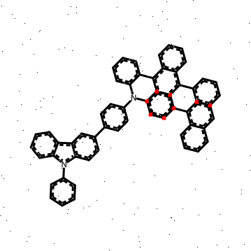 c1ccc(-c2c3ccccc3c(-c3ccccc3N(c3ccc(-c4ccc5c(c4)c4ccccc4n5-c4ccccc4)cc3)c3ccc(-c4cccc5ccccc45)cc3)c3ccccc23)cc1